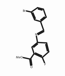 COC(=O)c1cc(/N=C/c2cccc(Br)c2)ccc1F